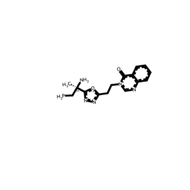 C[C@@](N)(CP)c1nnc(CCn2cnc3ccccc3c2=O)o1